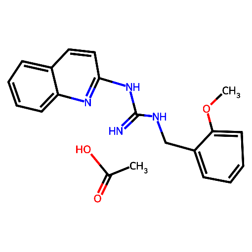 CC(=O)O.COc1ccccc1CNC(=N)Nc1ccc2ccccc2n1